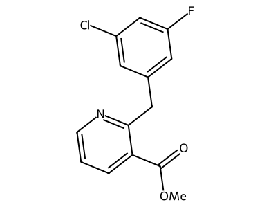 COC(=O)c1cccnc1Cc1cc(F)cc(Cl)c1